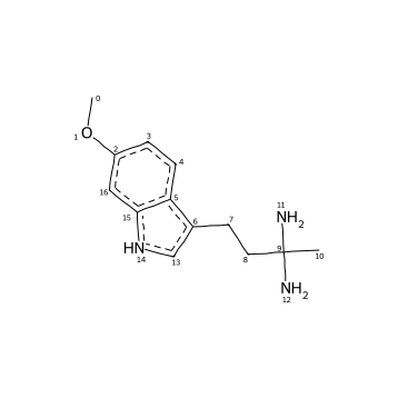 COc1ccc2c(CCC(C)(N)N)c[nH]c2c1